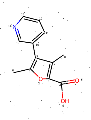 Cc1oc(C(=O)O)c(C)c1-c1cccnc1